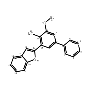 CCOc1nc(-c2cccnc2)cc(-c2cc3ccccc3s2)c1C#N